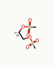 C[C@@H](COS(C)(=O)=O)OS(C)(=O)=O